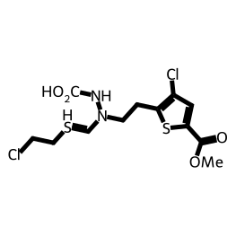 COC(=O)c1cc(Cl)c(CCN(C=[SH]CCCl)NC(=O)O)s1